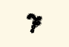 C1=C(c2ccccc2)CCC(c2ccc(-c3nc(-c4ccccc4)nc(-c4ccc5ccc6ccccc6c5c4)n3)c3c2oc2ccccc23)=C1